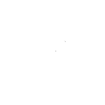 O=C(Nc1noc2ccccc12)N1CCCC(Cc2cccc(C(F)(F)F)c2)C1